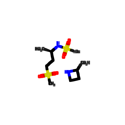 CCCCS(=O)(=O)N[C@@H](CCS(C)(=O)=O)C(=O)O.O=C(O)C1CCN1